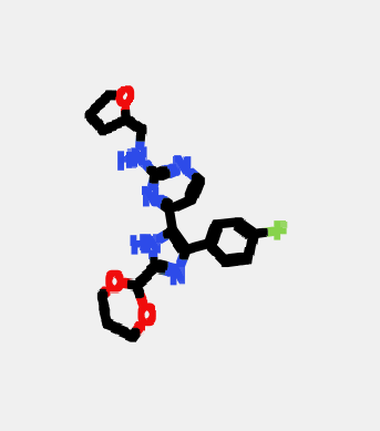 Fc1ccc(-c2nc(C3OCCCO3)[nH]c2-c2ccnc(NCC3CCCO3)n2)cc1